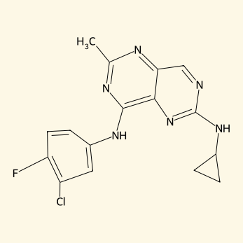 Cc1nc(Nc2ccc(F)c(Cl)c2)c2nc(NC3CC3)ncc2n1